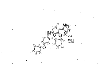 CN(CC(=O)Nc1ccc(Oc2ccccc2)cc1)C(COc1ccccc1)c1nnnn1CCC#N